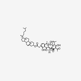 CC(=O)C1=C(O)C(C(C)C)[C@@]2(C)[C@H](O)[C@]3(C)C(=C(O)[C@@]2(O)C1=O)C(=O)c1c(ccc(CC(=O)OC2CC[C@@]4(C)C(=CCC5C6CCC([C@@H](C)CCCC(C)C)[C@@]6(C)CCC54)C2)c1O)[C@H]3C